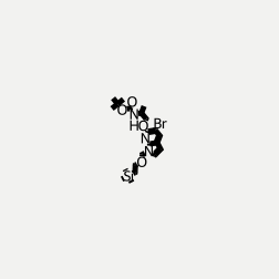 CC(COc1nc2c(ccn2COCC[Si](C)(C)C)cc1Br)NC(=O)OC(C)(C)C